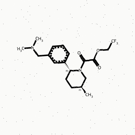 C[C@H]1CC[C@H](c2cccc(CN(C)C)c2)N(C(=O)C(=O)OCC(F)(F)F)C1